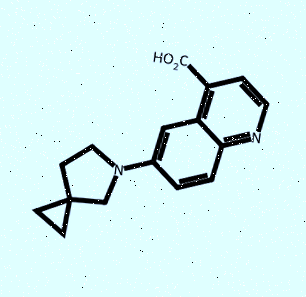 O=C(O)c1ccnc2ccc(N3CCC4(CC4)C3)cc12